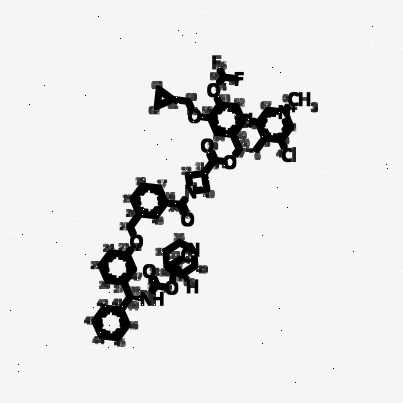 C[n+]1cc(Cl)c(C[C@H](OC(=O)C2CN(C(=O)c3cccc(COc4cccc([C@@H](NC(=O)O[C@H]5CN6CCC5CC6)c5ccccc5)c4)c3)C2)c2ccc(OC(F)F)c(OCC3CC3)c2)c(Cl)c1